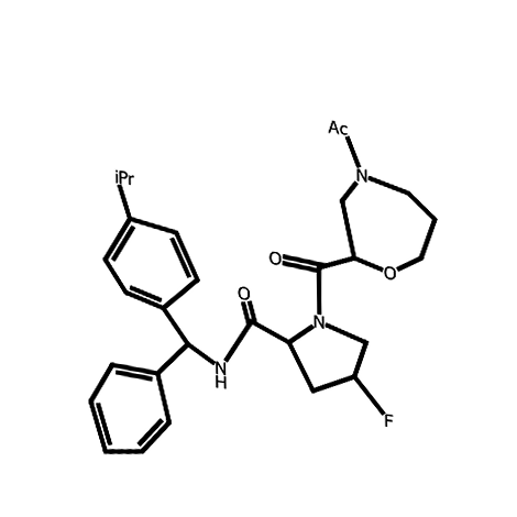 CC(=O)N1CCCOC(C(=O)N2CC(F)CC2C(=O)NC(c2ccccc2)c2ccc(C(C)C)cc2)C1